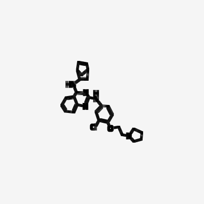 Clc1cc(Nc2nc(NC3=CC4C=CC3C4)c3ccccc3n2)ccc1OCCN1CCCC1